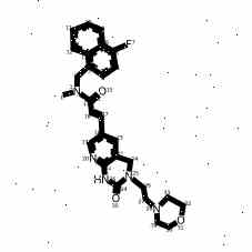 CN(Cc1ccc(F)c2ccccc12)C(=O)/C=C/c1cnc2c(c1)CN(CCN1CCOCC1)C(=O)N2